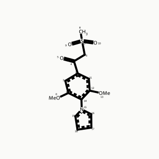 COc1cc(C(=O)CS(C)(=O)=O)cc(OC)c1-n1cccc1